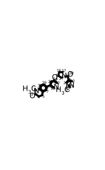 CN1C(=O)CCc2cc(-c3cncc(OC4CCN(C(=O)c5cnn(C)c5)C4)c3)ccc21